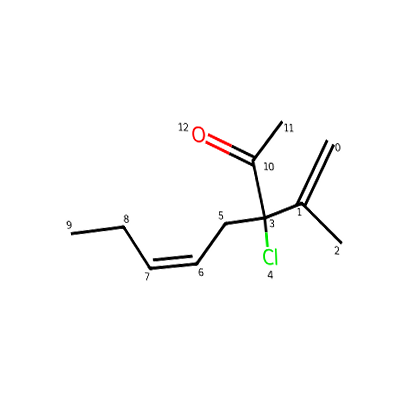 C=C(C)C(Cl)(C/C=C\CC)C(C)=O